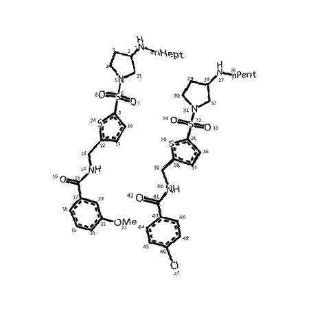 CCCCCCCNC1CCN(S(=O)(=O)c2ccc(CNC(=O)c3cccc(OC)c3)s2)C1.CCCCCNC1CCN(S(=O)(=O)c2ccc(CNC(=O)c3ccc(Cl)cc3)s2)C1